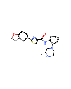 C[C@@H]1CN(c2ccccc2NC(=O)c2csc(-c3ccc4c(c3)CCO4)n2)CCN1